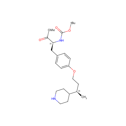 COC(=O)[C@H](Cc1ccc(OCC[C@@H](C)C2CCNCC2)cc1)NC(=O)OC(C)(C)C